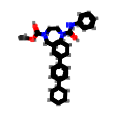 CC(C)(C)OC(=O)N1CCN(C(=O)Nc2ccccc2)C2=C(C=C(c3ccc(C4CCCCC4)cc3)CC2)C1